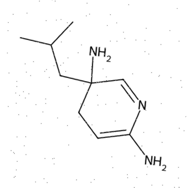 CC(C)CC1(N)C=NC(N)=CC1